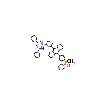 CP(=O)(c1ccccc1)c1ccc(-c2c3ccccc3c(-c3cccc(-c4nc(-c5ccccc5)nc(-c5ccccc5)n4)c3)c3ccccc23)cc1